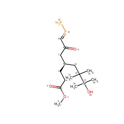 COC(=O)CC[C@@H](CC(=O)/C=P/P)CC(C)(C)[Si](C)(C)O